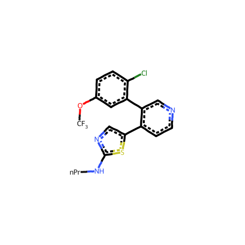 CCCNc1ncc(-c2ccncc2-c2cc(OC(F)(F)F)ccc2Cl)s1